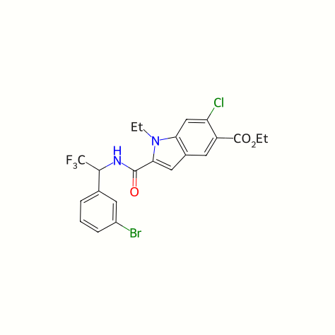 CCOC(=O)c1cc2cc(C(=O)NC(c3cccc(Br)c3)C(F)(F)F)n(CC)c2cc1Cl